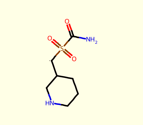 NC(=O)S(=O)(=O)[CH]C1CCCNC1